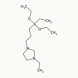 CCO[Si](CC)(CCCN1CCN(CC)C1)OCC